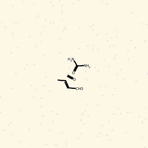 C=O.CC=CC=O.NC(N)=O